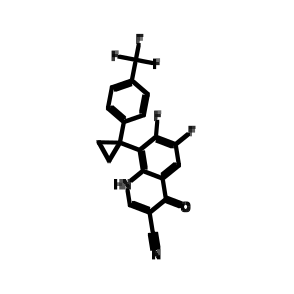 N#Cc1c[nH]c2c(C3(c4ccc(C(F)(F)F)cc4)CC3)c(F)c(F)cc2c1=O